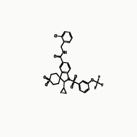 O=C(NCc1ccccc1Cl)c1ccc2c(c1)C1(CCS(=O)(=O)CC1)C(C1CC1)N2S(=O)(=O)c1cccc(OC(F)(F)F)c1